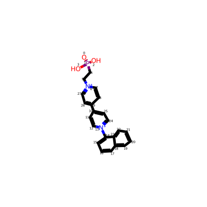 O=P(O)(O)CC[n+]1ccc(-c2cc[n+](-c3cccc4ccccc34)cc2)cc1